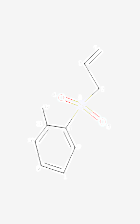 C=CCS(=O)(=O)c1ccccc1C